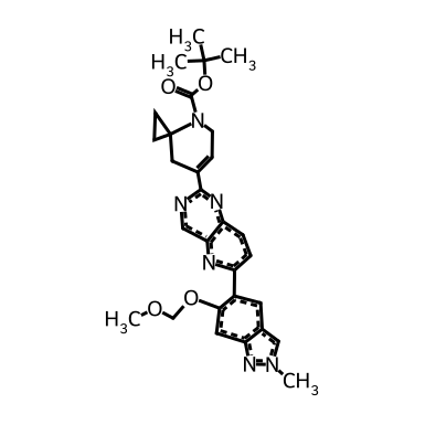 COCOc1cc2nn(C)cc2cc1-c1ccc2nc(C3=CCN(C(=O)OC(C)(C)C)C4(CC4)C3)ncc2n1